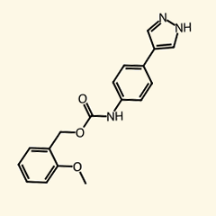 COc1ccccc1COC(=O)Nc1ccc(-c2cn[nH]c2)cc1